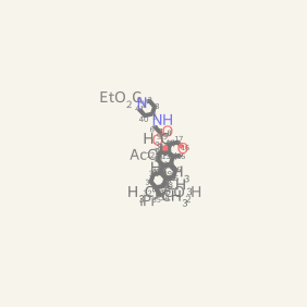 CCOC(=O)N1CCC(NCC(=O)O[C@H]2[C@H](OC(C)=O)C[C@@]34COC[C@]2(C)[C@@H]3CC[C@H]2C4=CC[C@@]3(C)[C@H](C(=O)O)[C@@](C)([C@H](C)C(C)C)CC[C@]23C)CC1